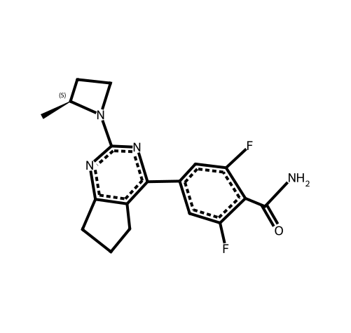 C[C@H]1CCN1c1nc2c(c(-c3cc(F)c(C(N)=O)c(F)c3)n1)CCC2